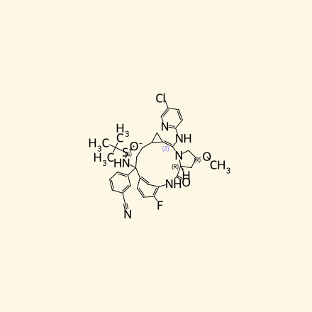 CO[C@@H]1C[C@@H]2C(=O)Nc3cc(ccc3F)C(N[S@+]([O-])C(C)(C)C)(c3cccc(C#N)c3)CCC3C/C3=C(\Nc3ccc(Cl)cn3)N2C1